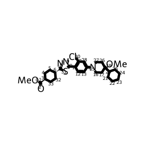 COC(=O)[C@H]1CC[C@H](c2nnc(-c3ccc(N4CCC(OC)(C5CCCCC5)CC4)cc3Cl)s2)CC1